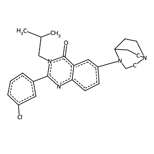 CC(C)Cn1c(-c2cccc(Cl)c2)nc2ccc(N3CCN4CCC3CC4)cc2c1=O